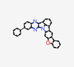 c1ccc(-c2ccc3nc4c5cccc6c7cc8c(cc7n(c4nc3c2)c65)oc2ccccc28)cc1